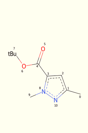 Cc1cc(C(=O)OC(C)(C)C)n(C)n1